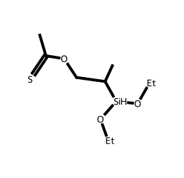 CCO[SiH](OCC)C(C)COC(C)=S